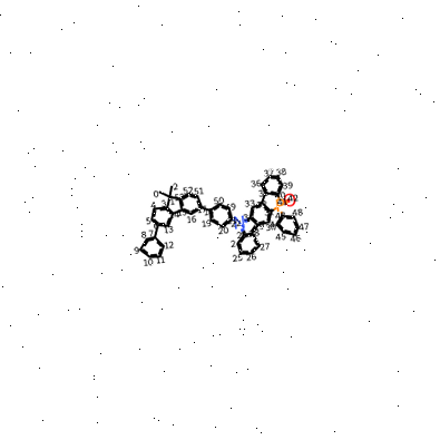 CC1(C)c2ccc(-c3ccccc3)cc2-c2cc(-c3ccc(-n4c5ccccc5c5cc6c(cc54)-c4ccccc4P6(=O)c4ccccc4)cc3)ccc21